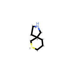 C1CSCC2(C1)CCNC2